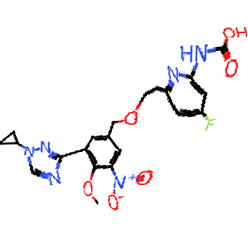 COc1c(-c2ncn(C3CC3)n2)cc(COCc2cc(F)cc(NC(=O)O)n2)cc1[N+](=O)[O-]